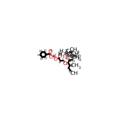 C#CC[C@@H](C)[C@H](OCCC(=O)OCOC(=O)c1ccccc1)[C@@H](C=C)O[Si](C)(C)C(C)(C)C